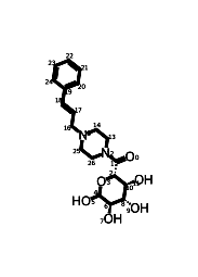 O=C([C@H]1OC(O)[C@H](O)[C@@H](O)[C@@H]1O)N1CCN(C/C=C/c2ccccc2)CC1